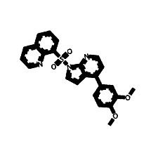 COc1ccc(-c2ccnc3c2ccn3S(=O)(=O)c2cccc3cccnc23)cc1OC